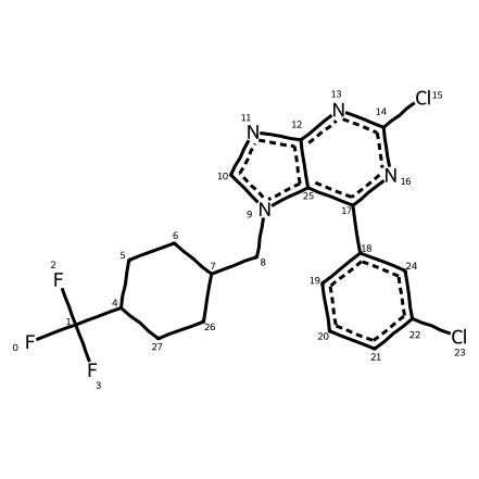 FC(F)(F)C1CCC(Cn2cnc3nc(Cl)nc(-c4cccc(Cl)c4)c32)CC1